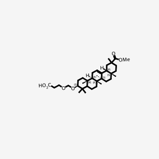 COC(=O)C1(C)CC[C@]2(C)CC[C@]3(C)C(=CC[C@@H]4[C@@]5(C)CC[C@H](OCOCCC(=O)O)C(C)(C)C5CC[C@]43C)[C@@H]2C1